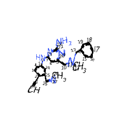 C#Cc1ccc(Nc2cc(CN(C)Cc3ccccc3)nc(N)n2)cc1/C=N\C